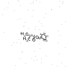 [CH2]C(C)CC(=O)OCc1ccccc1